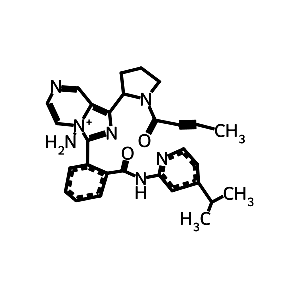 CC#CC(=O)N1CCCC1C1=C2C=NC=C[N+]2(N)C(c2ccccc2C(=O)Nc2cc(C(C)C)ccn2)=N1